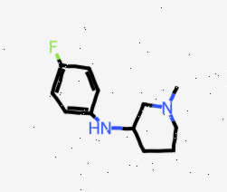 CN1CCCC(Nc2ccc(F)cc2)C1